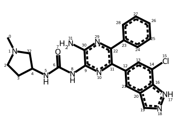 CN1CCC(NC(=O)Nc2nc(-c3cc(Cl)c4[nH]ncc4c3)c(-c3ccccc3)nc2N)C1